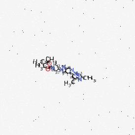 Cc1cn2nc(-c3cc4cn(C5CCN(C(=O)OC(C)(C)C)CC5)nc4cn3)cc(C)c2n1